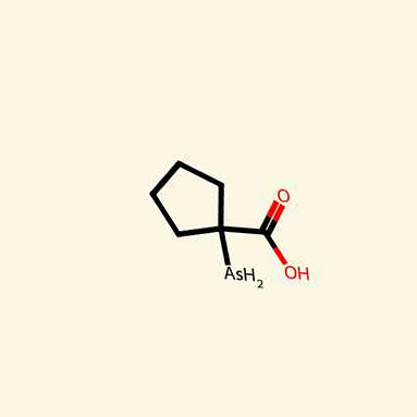 O=C(O)C1([AsH2])CCCC1